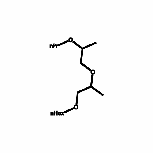 C[CH]COC(C)COC(C)COCCCCCC